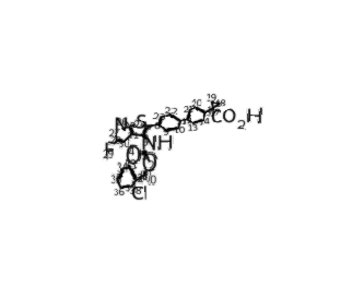 C[C@@H](OC(=O)Nc1c(-c2ccc(-c3ccc(C4(C(=O)O)CC4)cc3)cc2)sc2ncc(F)cc12)c1ccccc1Cl